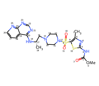 COC(=O)Nc1nc(C)c(S(=O)(=O)N2CCN(C[C@H](C)Nc3ncnc4ncccc34)CC2)s1